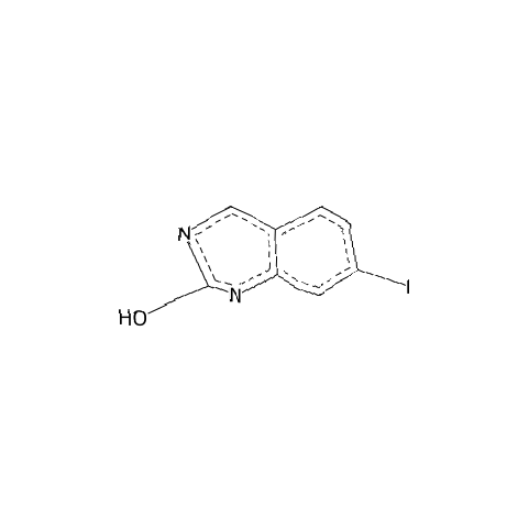 Oc1ncc2ccc(I)cc2n1